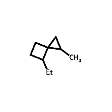 CCC1CCC12CC2C